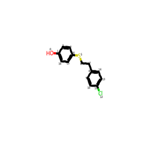 Oc1ccc(SCCc2ccc(Cl)cc2)cc1